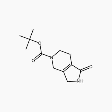 CC(C)(C)OC(=O)N1CCC2=C(CNC2=O)C1